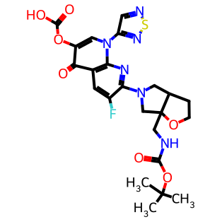 CC(C)(C)OC(=O)NCC12CN(c3nc4c(cc3F)c(=O)c(OC(=O)O)cn4-c3cnsn3)CC1CCO2